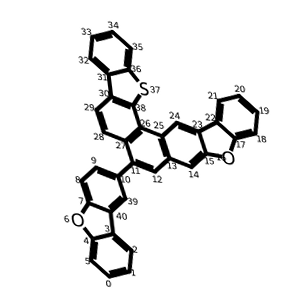 c1ccc2c(c1)oc1ccc(-c3cc4cc5oc6ccccc6c5cc4c4c3ccc3c5ccccc5sc34)cc12